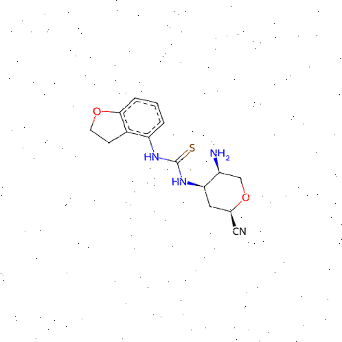 N#C[C@H]1C[C@@H](NC(=S)Nc2cccc3c2CCO3)[C@@H](N)CO1